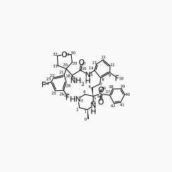 C[C@H]1CNC[C@](CCc2c(F)cccc2NC(=O)[C@@H](N)C2(c3cc(F)cc(F)c3)CCOCC2)(S(=O)(=O)c2ccccc2)N1